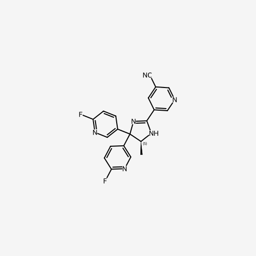 C[C@@H]1NC(c2cncc(C#N)c2)=NC1(c1ccc(F)nc1)c1ccc(F)nc1